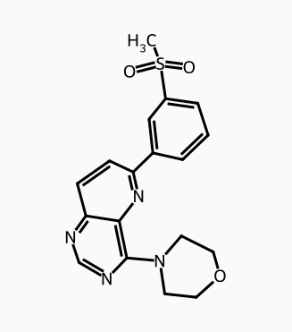 CS(=O)(=O)c1cccc(-c2ccc3ncnc(N4CCOCC4)c3n2)c1